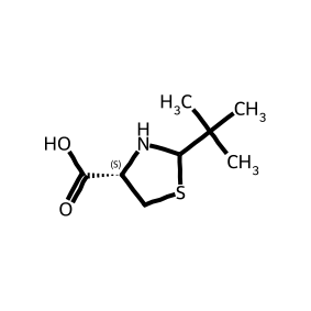 CC(C)(C)C1N[C@@H](C(=O)O)CS1